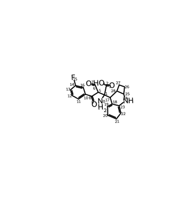 NC(C(=O)O)(C(C=O)C(=O)c1cccc(F)c1)C1c2ccccc2NC2CCC21